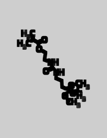 C=C(C)C(=O)OCCNC(=O)NCCC[Si](OC)(OC)OC